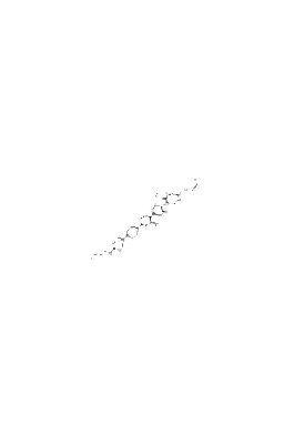 CC/C=C\Cc1ccc(-c2ccc(-c3ccc(C4=CCC(C5CCC(CCCCC)CC5)CC4)cc3F)cc2)c(F)c1F